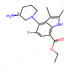 CCOC(=O)c1cc(F)c(N2CCC[C@H](N)C2)c2c(C)c(C)[nH]c12